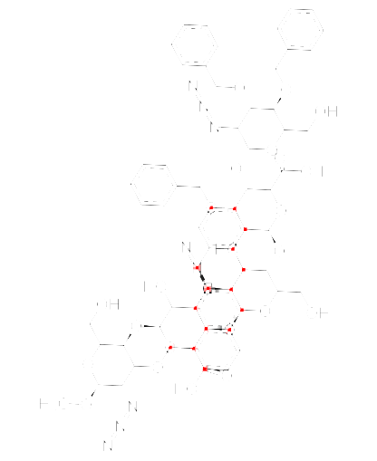 CO[C@H]1OC(CO)[C@@H](O[C@@H]2OC(C(=O)O)[C@H](O[C@@H]3OC(CO)[C@@H](O[C@@H]4OC(C(=O)O)[C@@H](O[C@H]5OC(CO)[C@H](OCc6ccccc6)[C@@H](OCc6ccccc6)C5N=[N+]=[N-])[C@@H](OCc5ccccc5)C4OCc4ccccc4)C(O)[C@@H]3N=[N+]=[N-])[C@@H](OCc3ccccc3)C2O)C(OCc2ccccc2)[C@@H]1N=[N+]=[N-]